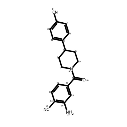 N#Cc1ccc(C2CCN(C(=O)c3ccc(C#N)c(N)c3)CC2)cc1